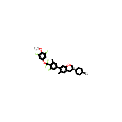 CCC1CCC([C@@H]2COc3cc(-c4cc(C)c(C(F)(F)Oc5cc(F)c(OC(F)(F)F)c(F)c5)c(F)c4)c(C)cc3C2)CC1